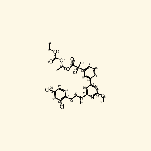 CCOC(=O)OC(C)OC(=O)C(C)(C)c1cccc(-c2cc(NCCc3ccc(Cl)cc3Cl)nc(OC)n2)c1